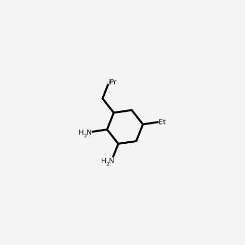 CCC1CC(N)C(N)C(CC(C)C)C1